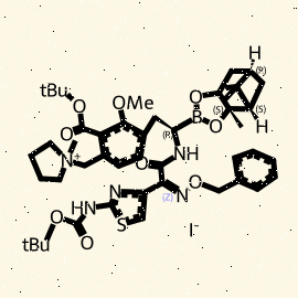 COc1c(C[C@H](NC(=O)/C(=N\OCc2ccccc2)c2csc(NC(=O)OC(C)(C)C)n2)B2OC3C[C@H]4C[C@@H](C4(C)C)[C@]3(C)O2)ccc(C[N+]2(C)CCCC2)c1C(=O)OC(C)(C)C.[I-]